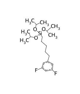 CC(C)O[Si](CCCCCc1cc(F)cc(F)c1)(OC(C)C)OC(C)C